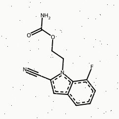 N#Cc1cc2cccc(F)c2n1CCOC(N)=O